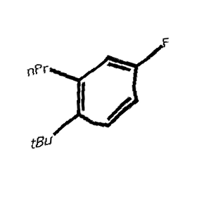 CCCc1cc(F)ccc1C(C)(C)C